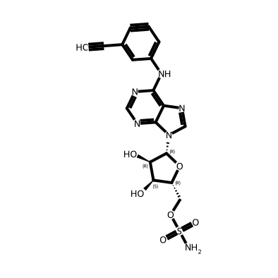 C#Cc1c#ccc(Nc2ncnc3c2ncn3[C@@H]2O[C@H](COS(N)(=O)=O)[C@@H](O)[C@H]2O)c1